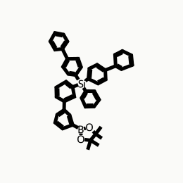 CC1(C)OB(c2cccc(-c3cccc([Si](c4ccccc4)(c4ccc(-c5ccccc5)cc4)c4ccc(-c5ccccc5)cc4)c3)c2)OC1(C)C